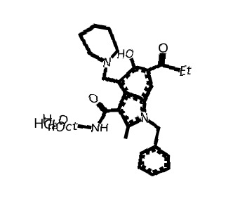 CCCCCCCCNC(=O)c1c(C)n(Cc2ccccc2)c2cc(C(=O)CC)c(O)c(CN3CCCCC3)c12.Cl.O